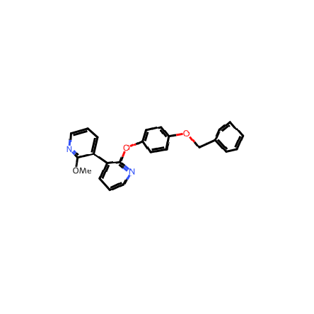 COc1ncccc1-c1cccnc1Oc1ccc(OCc2ccccc2)cc1